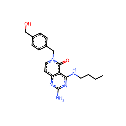 CCCCNc1nc(N)nc2ccn(Cc3ccc(CO)cc3)c(=O)c12